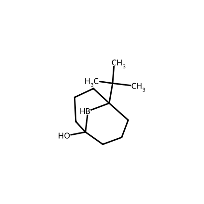 CC(C)(C)C12BC(O)(CCC1)CCC2